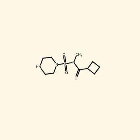 CN(C(=O)C1CCC1)S(=O)(=O)N1CCNCC1